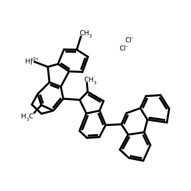 CC1=Cc2c(-c3cc4ccccc4c4ccccc34)cccc2C1c1c2c(C)c(c3c1-c1ccc(C)cc1[CH]3[Hf+2])CC2.[Cl-].[Cl-]